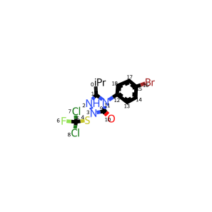 CC(C)C1NN(SC(F)(Cl)Cl)C(=O)N1c1ccc(Br)cc1